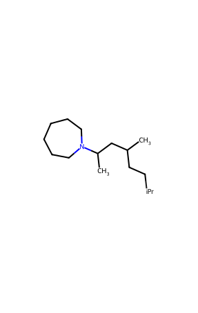 CC(C)CCC(C)CC(C)N1CCCCCC1